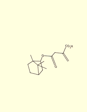 C=C(CC(=O)OC1CC2CCC1(C)C2(C)C)C(=O)O